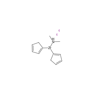 C[SiH](C)[Zr]([C]1=CC=CC1)[C]1=CC=CC1.[I].[I]